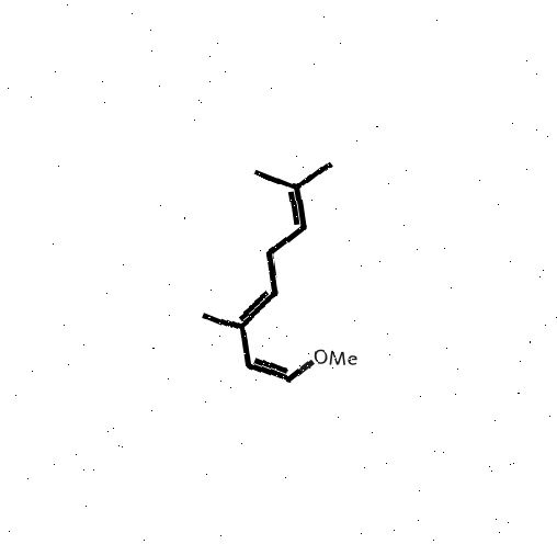 CO/C=C\C(C)=CCC=C(C)C